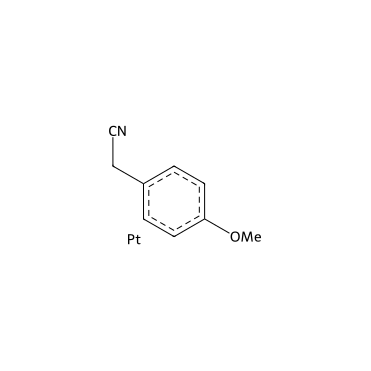 COc1ccc(CC#N)cc1.[Pt]